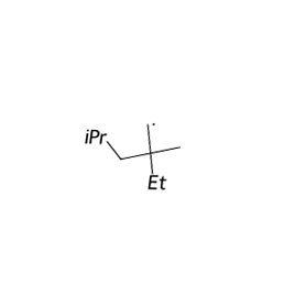 [CH2]C(C)(CC)CC(C)C